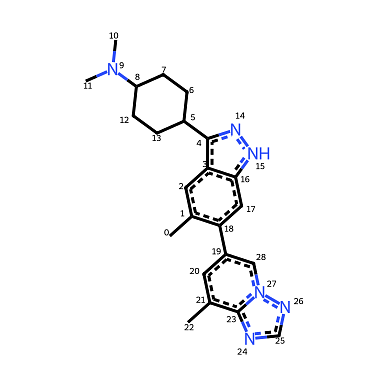 Cc1cc2c(C3CCC(N(C)C)CC3)n[nH]c2cc1-c1cc(C)c2ncnn2c1